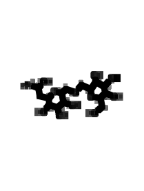 CCCC(O)CC1OC(COCC2OC(CO)C(O)C(O)C2O)C(O)C(O)C1O